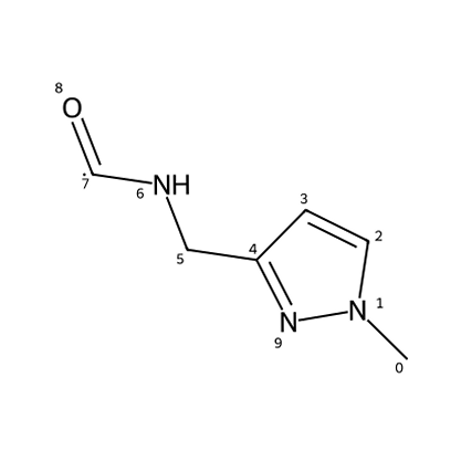 Cn1ccc(CN[C]=O)n1